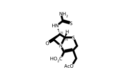 CC(=O)OCC1=C(C(=O)O)N2C(=O)[C@H](NC(N)=S)[C@@H]2SC1